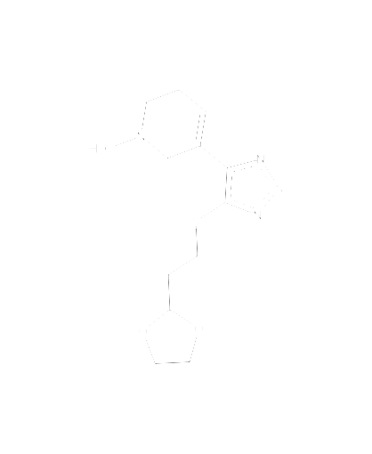 CN1CCC=C(c2nsnc2SCCC2OCCO2)C1